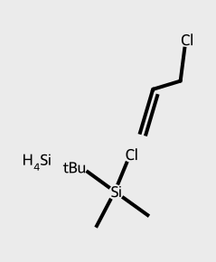 C=CCCl.CC(C)(C)[Si](C)(C)Cl.[SiH4]